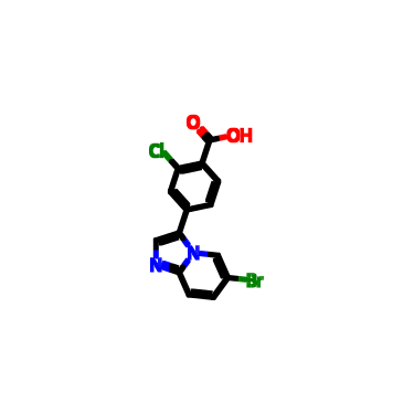 O=C(O)c1ccc(-c2cnc3ccc(Br)cn23)cc1Cl